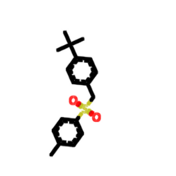 Cc1ccc(S(=O)(=O)Cc2ccc(C(C)(C)C)cc2)cc1